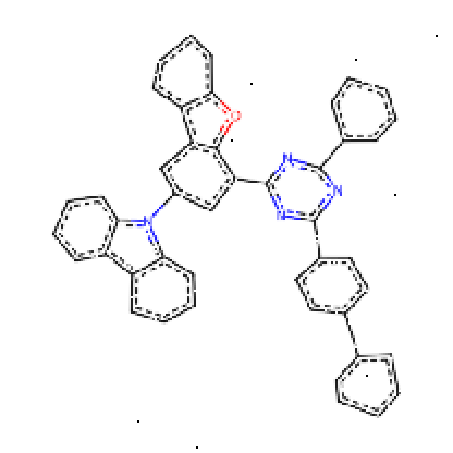 c1ccc(-c2ccc(-c3nc(-c4ccccc4)nc(-c4cc(-n5c6ccccc6c6ccccc65)cc5c4oc4ccccc45)n3)cc2)cc1